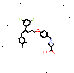 Cc1ccc(/C=C(\CCCOc2ccc(CN3CC(C(=O)O)C3)cc2)c2cc(F)cc(F)c2)cc1C